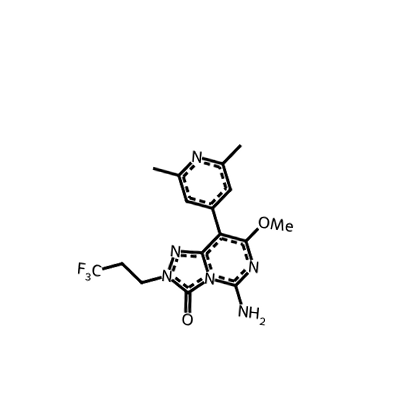 COc1nc(N)n2c(=O)n(CCC(F)(F)F)nc2c1-c1cc(C)nc(C)c1